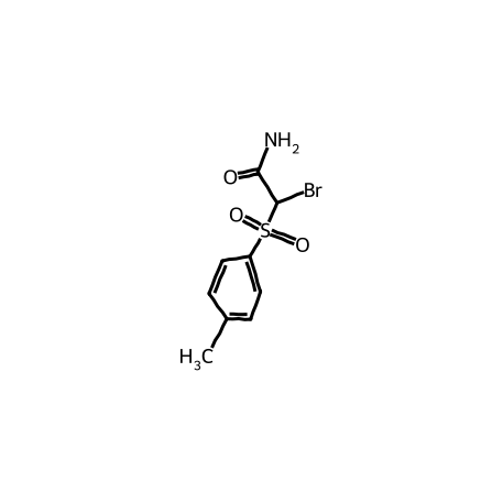 Cc1ccc(S(=O)(=O)C(Br)C(N)=O)cc1